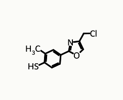 Cc1cc(-c2nc(CCl)co2)ccc1S